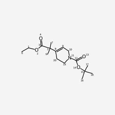 CCOC(=O)C(C)(C)C1=CCN(C(=O)OC(C)(C)C)CC1